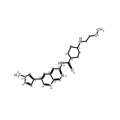 COCCNC1CCC(C(=O)Nc2cc3cc(-c4cnn(C)c4)cnc3cn2)CC1